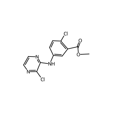 COC(=O)c1cc(Nc2nccnc2Cl)ccc1Cl